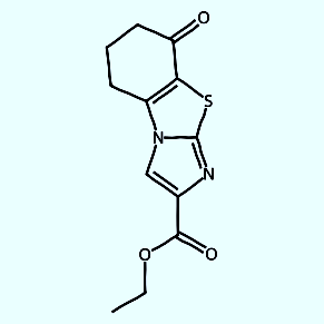 CCOC(=O)c1cn2c3c(sc2n1)C(=O)CCC3